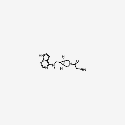 CN(CC1[C@H]2CN(C(=O)CC#N)C[C@@H]12)c1ncnc2[nH]ccc12